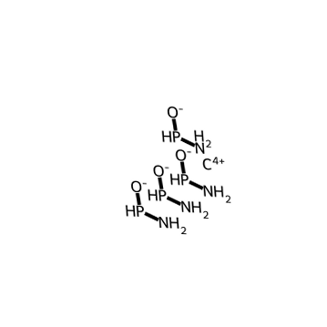 NP[O-].NP[O-].NP[O-].NP[O-].[C+4]